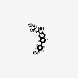 CC(C)(C)OC(=O)NC(=N)N1CCc2ccc(-c3ccc(C(C)(C)C)cc3)cc2C1